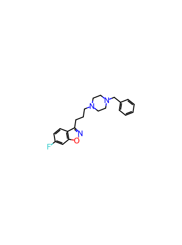 Fc1ccc2c(CCCN3CCN(Cc4ccccc4)CC3)noc2c1